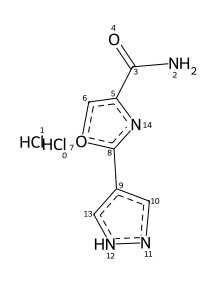 Cl.Cl.NC(=O)c1coc(-c2cn[nH]c2)n1